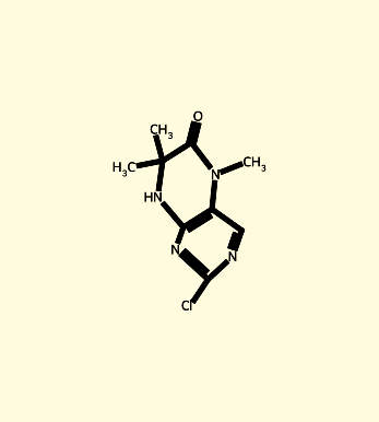 CN1C(=O)C(C)(C)Nc2nc(Cl)ncc21